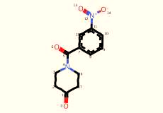 O=C1CCN(C(=O)c2cccc([N+](=O)[O-])c2)CC1